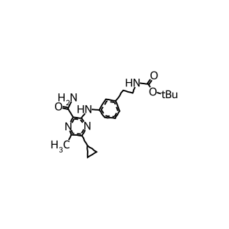 Cc1nc(C(N)=O)c(Nc2cccc(CCNC(=O)OC(C)(C)C)c2)nc1C1CC1